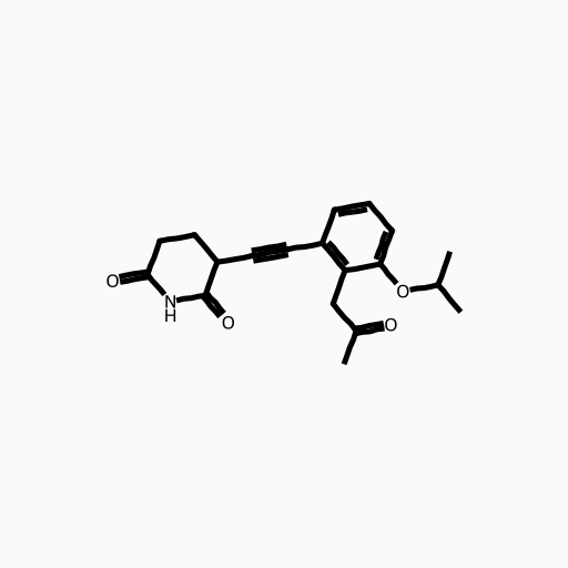 CC(=O)Cc1c(C#CC2CCC(=O)NC2=O)cccc1OC(C)C